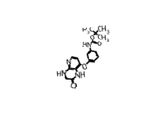 CC(C)(C)OC(=O)Nc1cccc(Oc2ccnc3c2NC(=O)CN3)c1